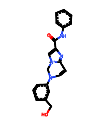 O=C(Nc1ccccc1)C1=C[N+]2CN(c3cccc(CO)c3)C=CC2=N1